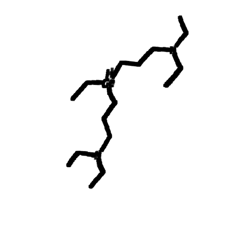 CCN(CC)CC[CH2][GeH]([CH2]C)[CH2]CCN(CC)CC